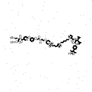 COC(=O)[C@H](CCC(C)(C)C)NC(=O)c1ccc(Oc2cccc(OCC(=O)NCCOC3CCN(S(=O)(=O)CCCc4cn(CCCCCCn5nccc5C(=O)N[C@H](C(=O)Nc5ccc(-c6c(C)n[nH]c6C)cc5)C(C5CC5)C5CC5)nn4)CC3)c2)nc1